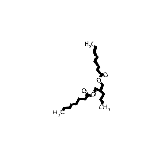 CCCCCCCC(=O)OCC(CCCC)COC(=O)CCCCCCC